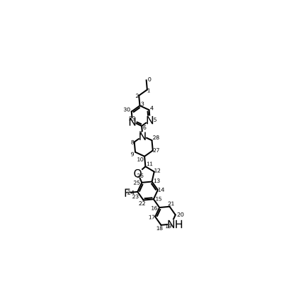 CCCc1cnc(N2CCC(C3Cc4cc(C5=CCNCC5)cc(F)c4O3)CC2)nc1